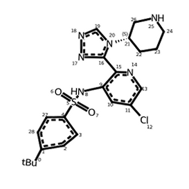 CC(C)(C)c1ccc(S(=O)(=O)Nc2cc(Cl)cnc2-c2nncn2[C@H]2CCCNC2)cc1